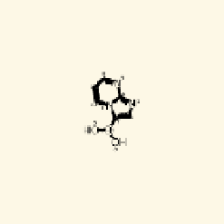 OB(O)c1cnc2ncccn12